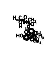 Cc1ccc(O)c2c1[C@]13CCN(C)[C@H](C)[C@]1(O)CC=C(OC(=O)[C@H](C)NC(=O)[C@H](C)O)[C@@H]3O2